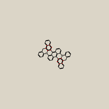 c1ccc2c(c1)Cc1ccccc1N2c1cccc2c(-c3ccc4ccccc4c3)c3c(N4c5ccccc5Cc5ccccc54)cccc3c(-c3ccc4ccccc4c3)c12